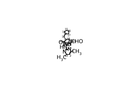 Cc1cc(C)nc(NNC(=O)[C@@H](CC2CCCC2)CN(O)C=O)n1